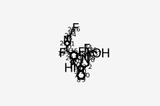 C[C@@H]1Cc2c([nH]c3ccccc23)[C@@H](c2c(F)cc([C@@H](F)C3CN(CCCF)C3)cc2F)N1CC(F)(F)CO